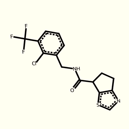 O=C(NCc1cccc(C(F)(F)F)c1Cl)C1CCc2ncsc21